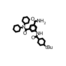 CC(C)(C)C1CCC(C(=O)Nc2cc(C(N)=O)cc(C(=O)N(C3CCCCC3)C3CCCCC3)c2)CC1